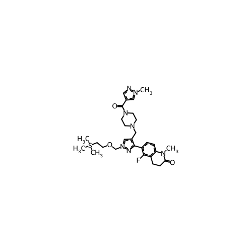 CN1C(=O)CCc2c1ccc(-c1nn(COCCS(C)(C)C)cc1CN1CCN(C(=O)c3cnn(C)c3)CC1)c2F